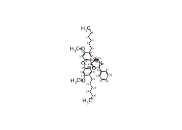 CCCCCCc1cc2c(cc1OC)Oc1cc(OC)c(CCCCCC)cc1C21OC(c2ccccc2)=Nc2ccccc21